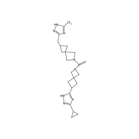 O=C(N1CC2(CC(Cc3n[nH]c(C(F)(F)F)n3)C2)C1)N1CC2(CC(c3nc(C4CC4)n[nH]3)C2)C1